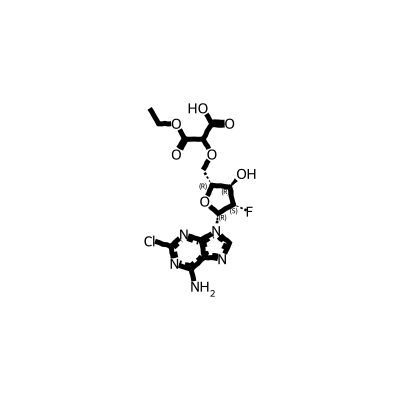 CCOC(=O)C(OC[C@H]1O[C@@H](n2cnc3c(N)nc(Cl)nc32)[C@@H](F)[C@@H]1O)C(=O)O